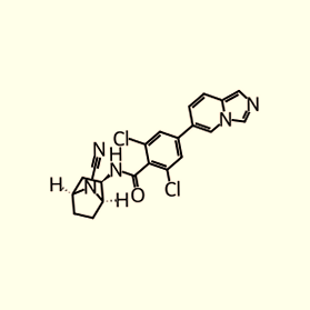 N#CN1[C@H]2CC[C@@H]1[C@H](NC(=O)c1c(Cl)cc(-c3ccc4cncn4c3)cc1Cl)C2